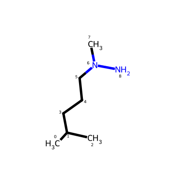 CC(C)CCCN(C)N